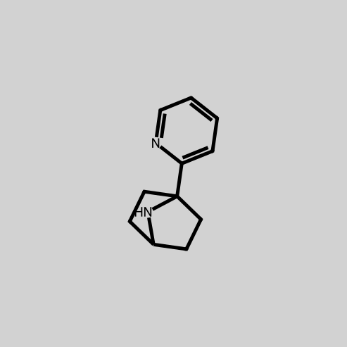 c1ccc(C23CCC(CC2)N3)nc1